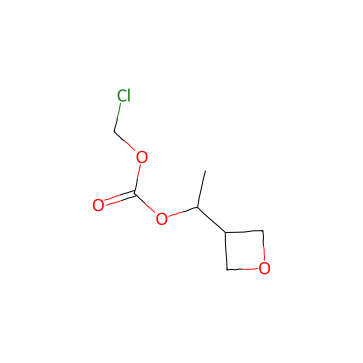 CC(OC(=O)OCCl)C1COC1